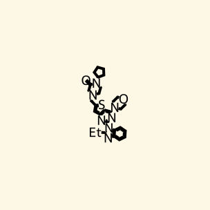 CCc1nc2ccccc2n1-c1nc(N2CCOCC2)c2sc(CN3CCN(C4CCCC4)C(=O)C3)cc2n1